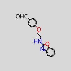 O=Cc1ccc(OCCNc2nc3ccccc3o2)cc1